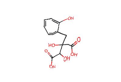 O=C(O)C(O)C(O)(Cc1ccccc1O)C(=O)O